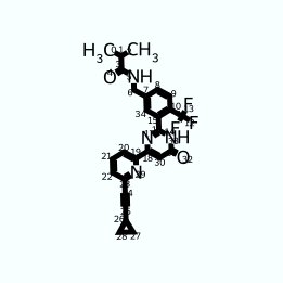 CC(C)C(=O)NCc1ccc(C(F)(F)F)c(-c2nc(-c3cccc(C#CC4CC4)n3)cc(=O)[nH]2)c1